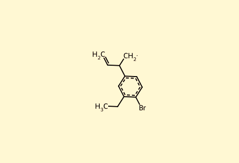 [CH2]C(C=C)c1ccc(Br)c(CC)c1